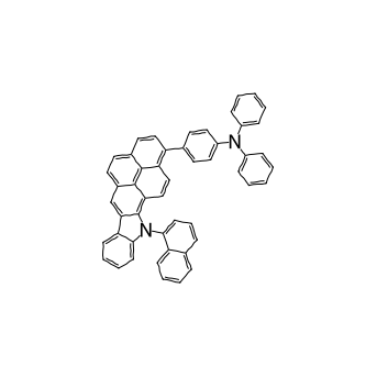 c1ccc(N(c2ccccc2)c2ccc(-c3ccc4ccc5cc6c7ccccc7n(-c7cccc8ccccc78)c6c6ccc3c4c56)cc2)cc1